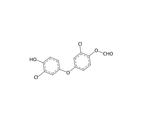 O=COc1ccc(Oc2ccc(O)c(Cl)c2)cc1Cl